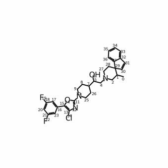 CC1CN(CC(O)C2CCN(c3nc(Cl)c(-c4cc(F)cc(F)c4)o3)CC2)CCC12C=Cc1ccccc12